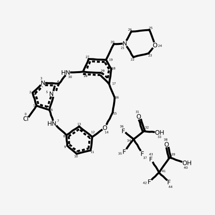 Clc1cnc2nc1Nc1cccc(c1)OCCc1cc(CN3CCOCC3)cc(c1)N2.O=C(O)C(F)(F)F.O=C(O)C(F)(F)F